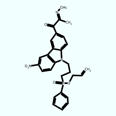 C=CCOP(=O)(CCCn1c2ccc(C(=O)/C(C)=N/OC(C)=O)cc2c2cc([N+](=O)[O-])ccc21)c1ccccc1